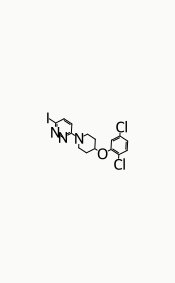 Clc1ccc(Cl)c(OC2CCN(c3ccc(I)nn3)CC2)c1